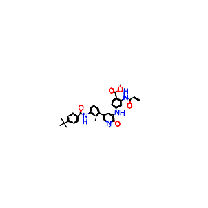 C=CC(=O)Nc1cc(Nc2cc(-c3cccc(NC(=O)c4ccc(C(C)(C)C)cc4)c3C)cn(C)c2=O)ccc1C(=O)OC